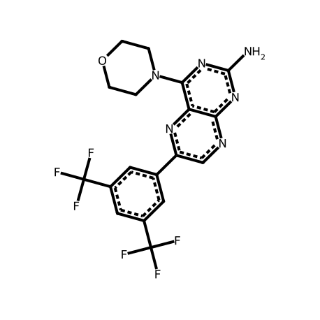 Nc1nc(N2CCOCC2)c2nc(-c3cc(C(F)(F)F)cc(C(F)(F)F)c3)cnc2n1